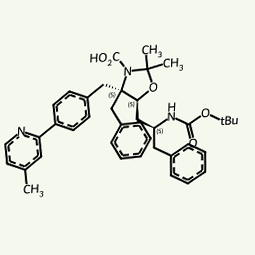 Cc1ccnc(-c2ccc(C[C@@]3(Cc4ccccc4)[C@H](C[C@H](Cc4ccccc4)NC(=O)OC(C)(C)C)OC(C)(C)N3C(=O)O)cc2)c1